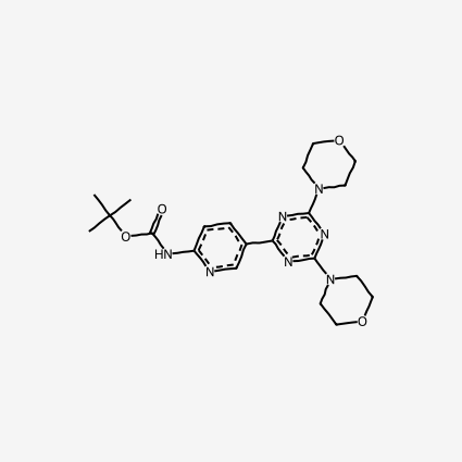 CC(C)(C)OC(=O)Nc1ccc(-c2nc(N3CCOCC3)nc(N3CCOCC3)n2)cn1